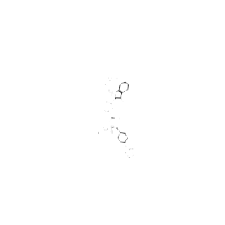 COCCCn1c(C2CCCN(C(=O)C[C@@H](Cc3ccc(N4CCCC4=O)cc3)NC(=O)OC(C)(C)C)C2)c(C)c2ccccc21